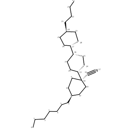 CCCCCCC[C@H]1CC[C@@](C#N)([C@H]2CC[C@@H]([C@H]3CC[C@H](CCCC)CC3)CC2)CC1